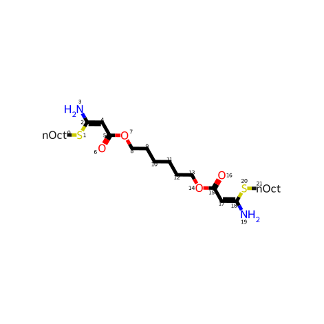 CCCCCCCCS/C(N)=C\C(=O)OCCCCCCOC(=O)/C=C(/N)SCCCCCCCC